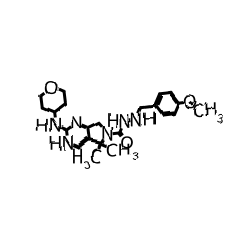 COc1ccc(CNNC(=O)N2CC3=NC(NC4CCOCC4)NC=C3C2(C)C)cc1